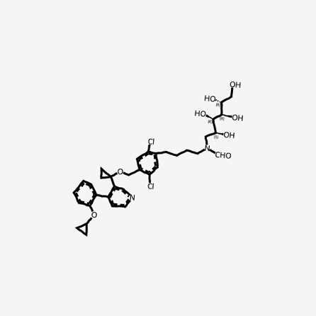 O=CN(CCCCc1cc(Cl)c(COC2(c3cnccc3-c3ccccc3OC3CC3)CC2)cc1Cl)C[C@H](O)[C@@H](O)[C@H](O)[C@H](O)CO